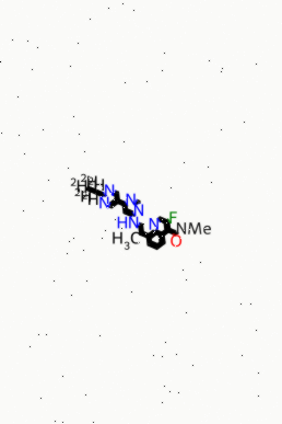 [2H]C([2H])([2H])C([2H])([2H])c1ncc(-c2cc(NC[C@@H](C)c3cccc4c(C(=O)NC)c(F)cnc34)ncn2)cn1